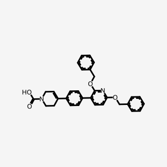 O=C(O)N1CC=C(c2ccc(-c3ccc(OCc4ccccc4)nc3OCc3ccccc3)cc2)CC1